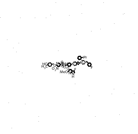 COc1nc2[nH]cc(F)c2cc1Oc1cc(N2CCC3(CC2)CC(N2CCN(Cc4ccc(F)cc4)C[C@H]2c2ccccc2C(C)C)C3)ccc1C(=O)NS(=O)(=O)c1cnc(OCC2CCC(C)(O)CC2)c([N+](=O)[O-])c1